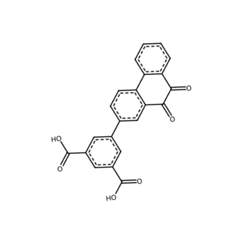 O=C(O)c1cc(C(=O)O)cc(-c2ccc3c(c2)C(=O)C(=O)c2ccccc2-3)c1